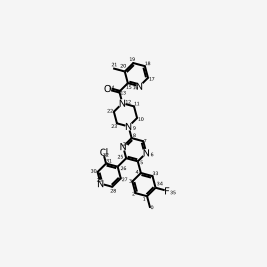 Cc1ccc(-c2ncc(N3CCN(C(=O)c4ncccc4C)CC3)nc2-c2ccncc2Cl)cc1F